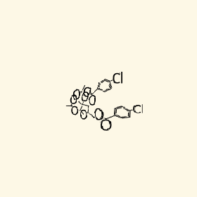 CC(=O)O[C@H]1O[C@H](COC(=O)c2ccc(Cl)cc2)[C@@H](OC(=O)c2ccc(Cl)cc2)[C@@]1(C)OC(C)=O